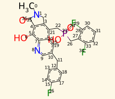 CN1Cc2c(c(O)c3ncc(Cc4ccc(F)cc4)cc3c2CP(=O)(O)Cc2c(F)cccc2F)C1=O